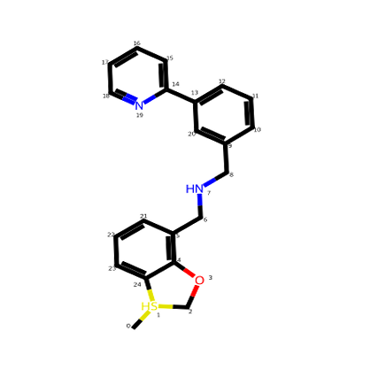 C[SH]1COc2c(CNCc3cccc(-c4ccccn4)c3)cccc21